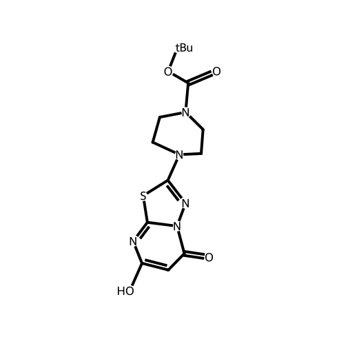 CC(C)(C)OC(=O)N1CCN(c2nn3c(=O)cc(O)nc3s2)CC1